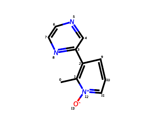 Cc1c(-c2cnccn2)ccc[n+]1[O-]